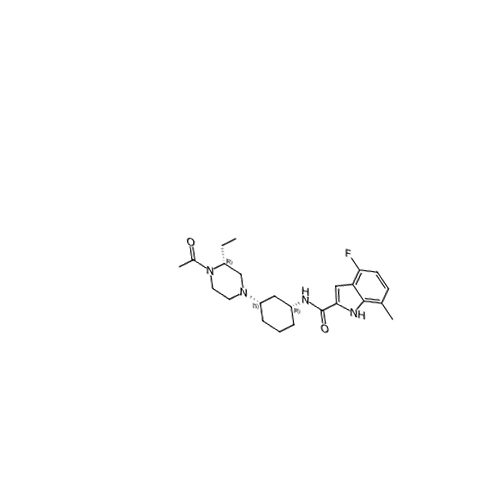 CC[C@@H]1CN([C@H]2CCC[C@@H](NC(=O)c3cc4c(F)ccc(C)c4[nH]3)C2)CCN1C(C)=O